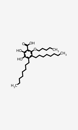 CCCCCCCCc1c(O)c(O)c(C(=O)O)c(OCCCCC)c1CCCCCCCC